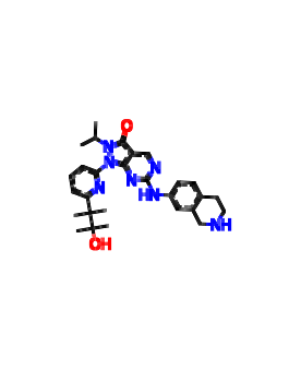 CC(C)n1c(=O)c2cnc(Nc3ccc4c(c3)CNCC4)nc2n1-c1cccc(C(C)(C)C(C)(C)O)n1